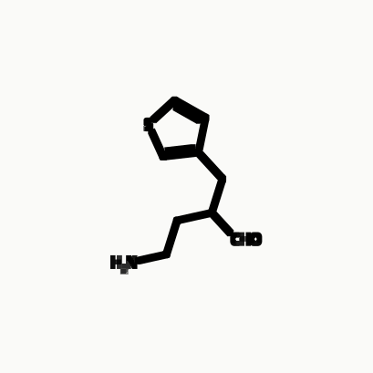 NCCC(C=O)Cc1ccsc1